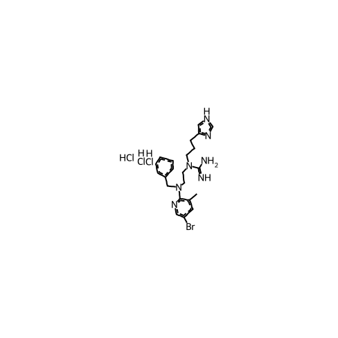 Cc1cc(Br)cnc1N(CCN(CCCc1c[nH]cn1)C(=N)N)Cc1ccccc1.Cl.Cl.Cl